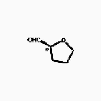 O=[C][C@@H]1CCCO1